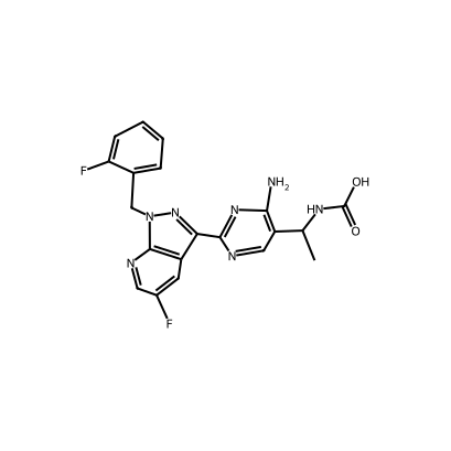 CC(NC(=O)O)c1cnc(-c2nn(Cc3ccccc3F)c3ncc(F)cc23)nc1N